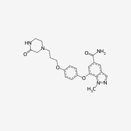 Cn1ncc2cc(C(N)=O)cc(Oc3ccc(OCCCN4CCNC(=O)C4)cc3)c21